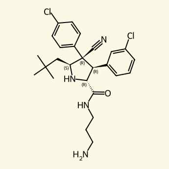 CC(C)(C)C[C@@H]1N[C@@H](C(=O)NCCCN)[C@H](c2cccc(Cl)c2)[C@@]1(C#N)c1ccc(Cl)cc1